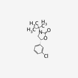 CC(C)(C)N1C[C@@H](c2cccc(Cl)c2)OC1=O